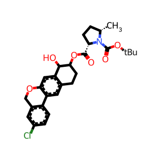 C[C@H]1CC[C@@H](C(=O)OC2CCc3cc4c(cc3C2O)OCc2cc(Cl)ccc2-4)N1C(=O)OC(C)(C)C